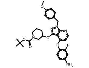 COc1ccc(Cn2nc(OC3CCCN(C(=O)OC(C)(C)C)C3)c3c(Oc4ccc(N)cc4F)ccnc32)cc1